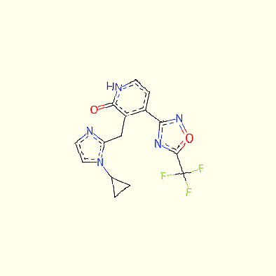 O=c1[nH]ccc(-c2noc(C(F)(F)F)n2)c1Cc1nccn1C1CC1